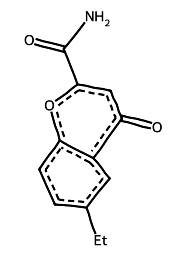 CCc1ccc2oc(C(N)=O)cc(=O)c2c1